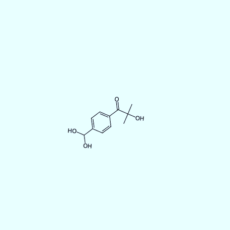 CC(C)(O)C(=O)c1ccc(C(O)O)cc1